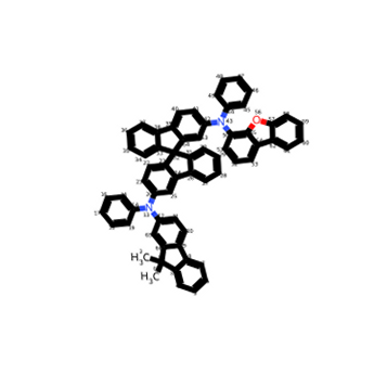 CC1(C)c2ccccc2-c2ccc(N(c3ccccc3)c3ccc4c(c3)-c3ccccc3C43c4ccccc4-c4ccc(N(c5ccccc5)c5cccc6c5oc5ccccc56)cc43)cc21